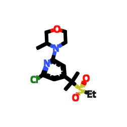 CCS(=O)(=O)C(C)(C)c1cc(Cl)nc(N2CCOCC2C)c1